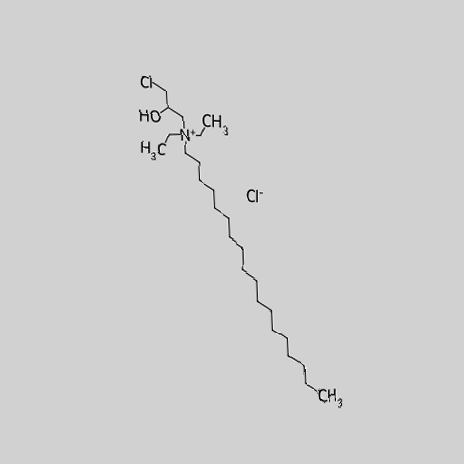 CCCCCCCCCCCCCCCCCC[N+](CC)(CC)CC(O)CCl.[Cl-]